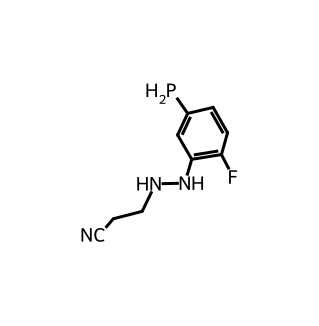 N#CCCNNc1cc(P)ccc1F